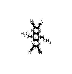 CCN1c2nc(C#N)c(C#N)nc2N(CC)c2nc(C#N)c(C#N)nc21